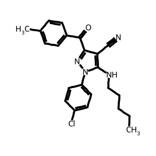 CCCCCNc1c(C#N)c(C(=O)c2ccc(C)cc2)nn1-c1ccc(Cl)cc1